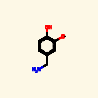 NCc1ccc(O)c([O])c1